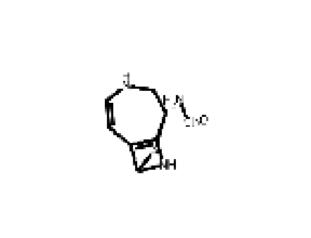 C1=CC2=C3NC2SC3CN1.NC=O